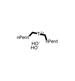 CCCCC[CH2][Ti+2][CH2]CCCCC.[OH-].[OH-]